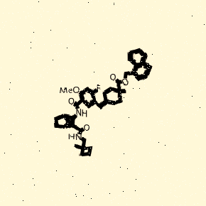 COc1cc(F)c(C=C2CCC(C)(C(=O)OCc3cccc4ccccc34)CC2)cc1C(=O)NC1C2CCC(C2)C1C(=O)NCC1(C)CCC1